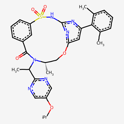 Cc1cccc(C)c1-c1cc2nc(n1)NS(=O)(=O)c1cccc(c1)C(=O)N(C(C)c1ncc(OC(C)C)cn1)[C@@H](C)CO2